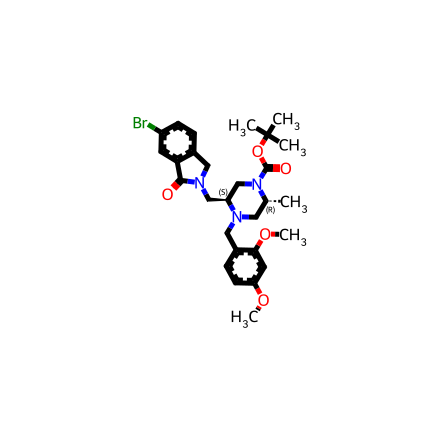 COc1ccc(CN2C[C@@H](C)N(C(=O)OC(C)(C)C)C[C@@H]2CN2Cc3ccc(Br)cc3C2=O)c(OC)c1